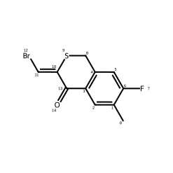 Cc1cc2c(cc1F)CS/C(=C\Br)C2=O